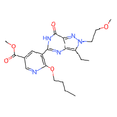 CCCCOc1ncc(C(=O)OC)cc1-c1nc2c(CC)n(CCOC)nc2c(=O)[nH]1